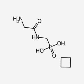 C1CCC1.NCC(=O)NCP(=O)(O)O